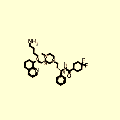 CN1CCN(CC[C@H](NC(=O)C2CCC(F)(F)CC2)c2ccccc2)C[C@H]1CN(CCCCN)C1CCCc2cccnc21